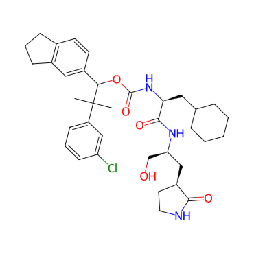 CC(C)(c1cccc(Cl)c1)C(OC(=O)N[C@@H](CC1CCCCC1)C(=O)N[C@H](CO)C[C@@H]1CCNC1=O)c1ccc2c(c1)CCC2